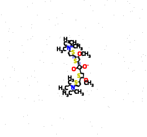 COc1cc(C2=C([O-])/C(=c3\cc(OC)/c(=C4/C=CC(=[N+](C(C)C)C(C)C)S4)s3)C2=O)sc1-c1ccc(N(C(C)C)C(C)C)s1